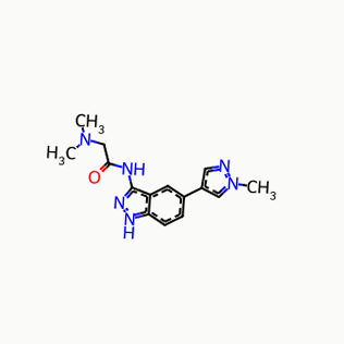 CN(C)CC(=O)Nc1n[nH]c2ccc(-c3cnn(C)c3)cc12